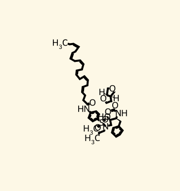 CC/C=C\C/C=C\C/C=C\C/C=C\C/C=C\C/C=C\CCC(=O)Nc1ccc(S(=O)(=O)N(CC(C)C)C[C@@H](O)[C@H](Cc2ccccc2)NC(=O)O[C@H]2CO[C@H]3COC[C@H]32)cc1